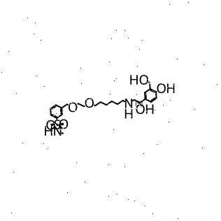 CNS(=O)(=O)c1cccc(COCCOCCCCCCNC[C@@H](O)c2ccc(O)c(CO)c2)c1